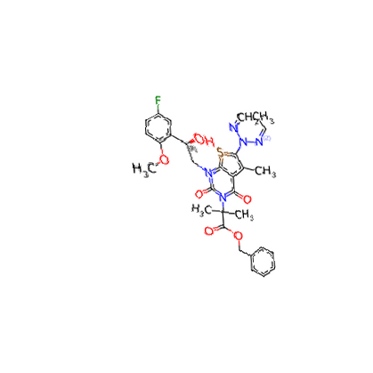 C=NN(/N=C\C)c1sc2c(c1C)c(=O)n(C(C)(C)C(=O)OCc1ccccc1)c(=O)n2C[C@H](O)c1cc(F)ccc1OC